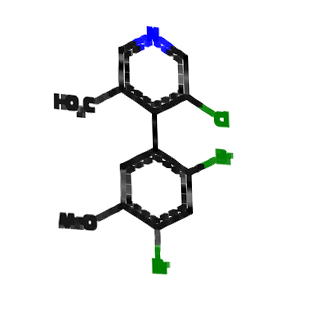 COc1cc(-c2c(Cl)cncc2C(=O)O)c(Br)cc1Br